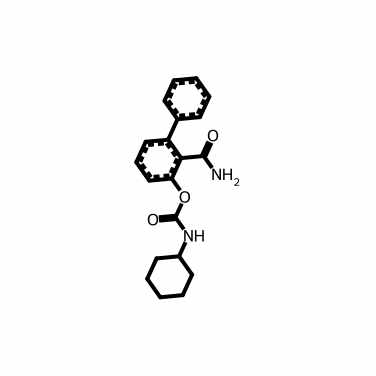 NC(=O)c1c(OC(=O)NC2CCCCC2)cccc1-c1ccccc1